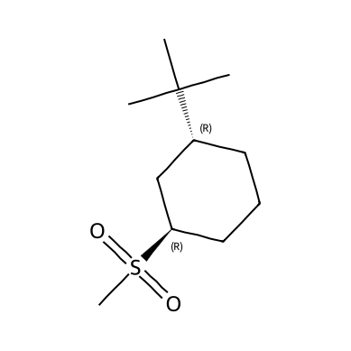 CC(C)(C)[C@@H]1CCC[C@@H](S(C)(=O)=O)C1